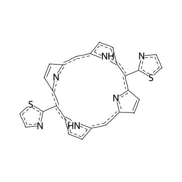 C1=Cc2nc1cc1ccc([nH]1)c(-c1nccs1)c1nc(cc3ccc([nH]3)c2-c2nccs2)C=C1